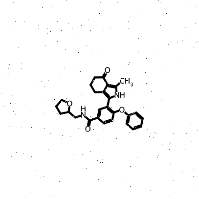 Cc1[nH]c(-c2cc(C(=O)NCC3CCCO3)ccc2Oc2ccccc2)c2c1C(=O)CCC2